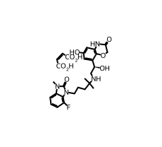 Cn1c(=O)n(CCCC(C)(C)NC[C@H](O)c2cc(O)cc3c2OCC(=O)N3)c2c(F)cccc21.O=C(O)/C=C\C(=O)O